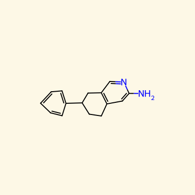 Nc1cc2c(cn1)CC(c1ccccc1)CC2